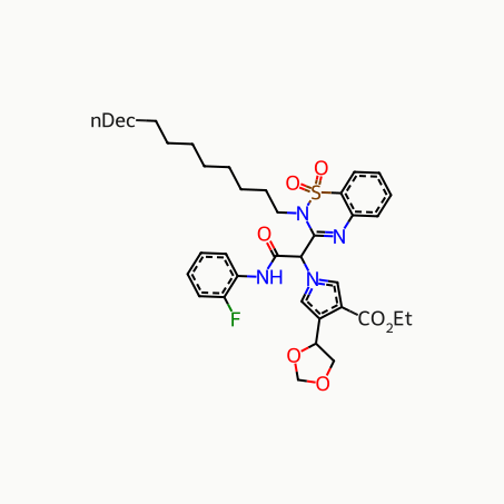 CCCCCCCCCCCCCCCCCCN1C(C(C(=O)Nc2ccccc2F)n2cc(C(=O)OCC)c(C3COCO3)c2)=Nc2ccccc2S1(=O)=O